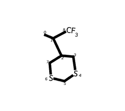 CC(C1CSCSC1)C(F)(F)F